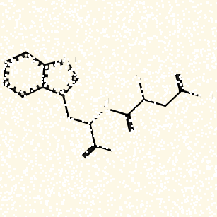 NC(CC(=O)O)C(=O)NC(Cc1c[nH]c2ccccc12)C(=O)O